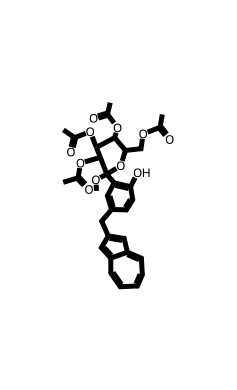 COC1(c2cc(Cc3cc4cccccc-4c3)ccc2O)OC(COC(C)=O)C(OC(C)=O)C(OC(C)=O)C1OC(C)=O